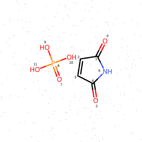 O=C1C=CC(=O)N1.O=P(O)(O)O